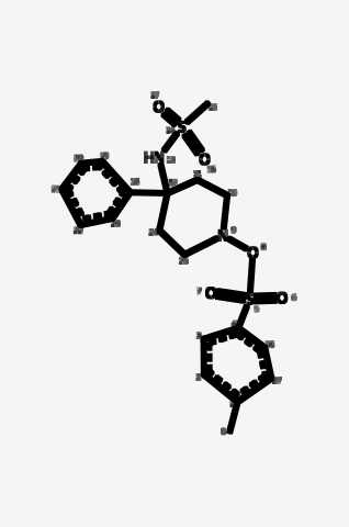 Cc1ccc(S(=O)(=O)ON2CCC(NS(C)(=O)=O)(c3ccccc3)CC2)cc1